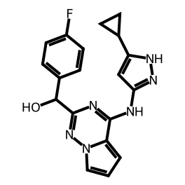 OC(c1ccc(F)cc1)c1nc(Nc2cc(C3CC3)[nH]n2)c2cccn2n1